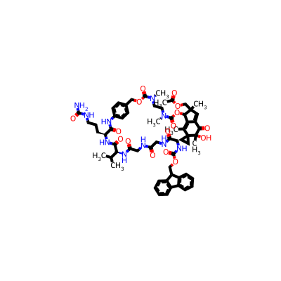 CC(=O)OCC1(C)C=C2C(=O)C(C)(O)C3(CC3)C(C)=C2C1OC(=O)N(C)CCN(C)C(=O)OCc1ccc(NC(=O)[C@H](CCCNC(N)=O)NC(=O)[C@@H](NC(=O)CNC(=O)CNC(=O)CNC(=O)OCC2c3ccccc3-c3ccccc32)C(C)C)cc1